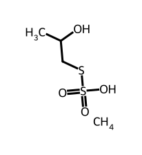 C.CC(O)CSS(=O)(=O)O